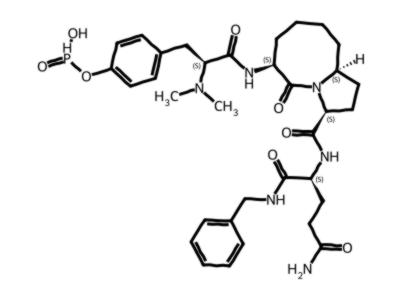 CN(C)[C@@H](Cc1ccc(O[PH](=O)O)cc1)C(=O)N[C@H]1CCCC[C@H]2CC[C@@H](C(=O)N[C@@H](CCC(N)=O)C(=O)NCc3ccccc3)N2C1=O